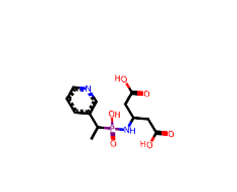 CC(c1cccnc1)P(=O)(O)NC(CC(=O)O)CC(=O)O